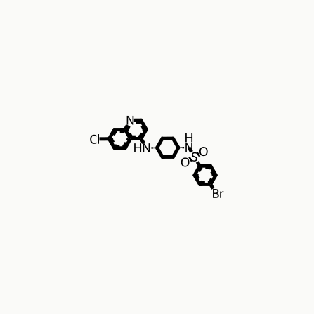 O=S(=O)(N[C@H]1CC[C@@H](Nc2ccnc3cc(Cl)ccc23)CC1)c1ccc(Br)cc1